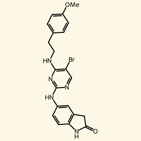 COc1ccc(CCNc2nc(Nc3ccc4c(c3)CC(=O)N4)ncc2Br)cc1